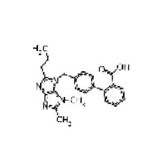 CCCc1nc2nc(C)n(C)c2n1Cc1ccc(-c2ccccc2C(=O)O)cc1